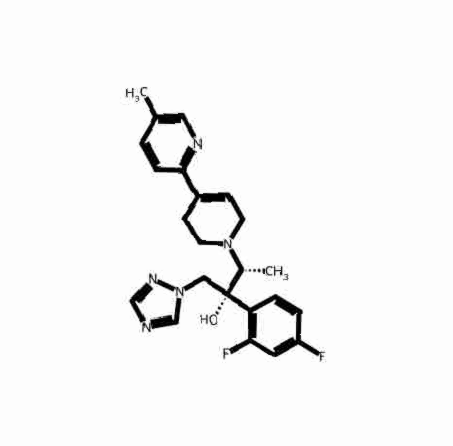 Cc1ccc(C2=CCN([C@H](C)[C@](O)(Cn3cncn3)c3ccc(F)cc3F)CC2)nc1